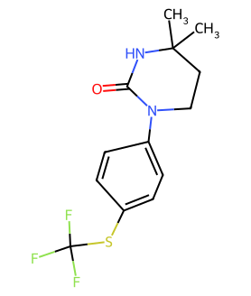 CC1(C)CCN(c2ccc(SC(F)(F)F)cc2)C(=O)N1